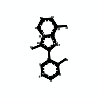 Cc1ccncc1-c1nc2c(C)cccn2c1C